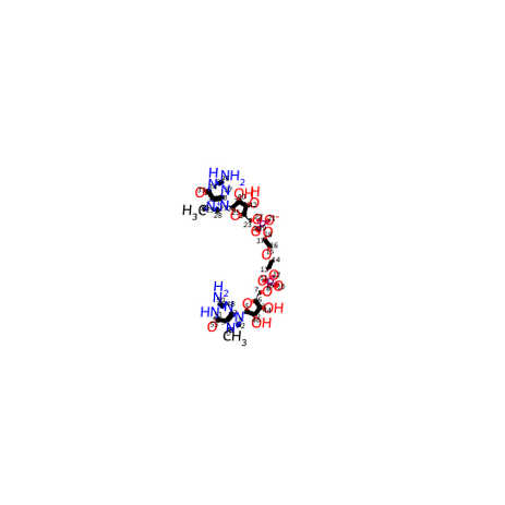 C[n+]1cn([C@@H]2O[C@H](COP(=O)([O-])OCCOCCOP(=O)([O-])OC[C@@H]3O[C@H](n4c[n+](C)c5c(=O)[nH]c(N)nc54)C(O)C3O)C(O)C2O)c2nc(N)[nH]c(=O)c21